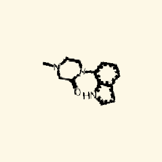 CN1CCN(c2cccc3cc[nH]c23)C(=O)C1